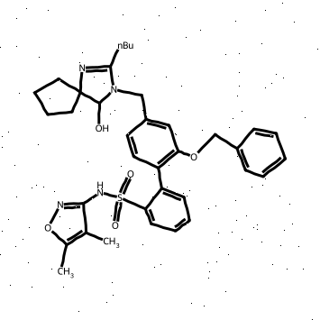 CCCCC1=NC2(CCCC2)C(O)N1Cc1ccc(-c2ccccc2S(=O)(=O)Nc2noc(C)c2C)c(OCc2ccccc2)c1